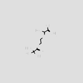 C=C(C)C(O)OCCOC(=O)C(C)(C)S